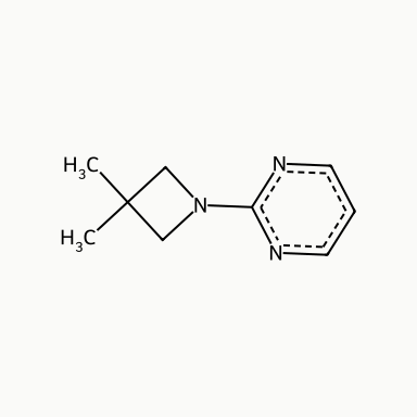 CC1(C)CN(c2ncccn2)C1